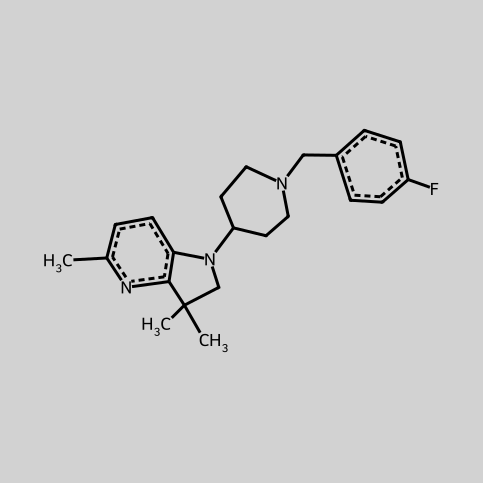 Cc1ccc2c(n1)C(C)(C)CN2C1CCN(Cc2ccc(F)cc2)CC1